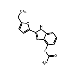 CC(=O)OCc1ccc(-c2nc3c(OC(N)=O)cccc3[nH]2)o1